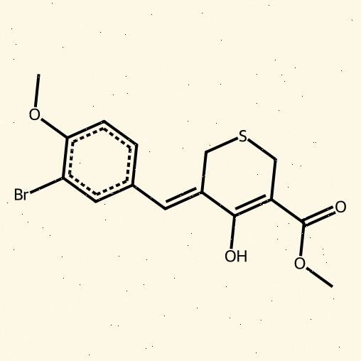 COC(=O)C1=C(O)/C(=C/c2ccc(OC)c(Br)c2)CSC1